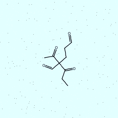 CCC(=O)C(C=O)(CCC=O)C(C)=O